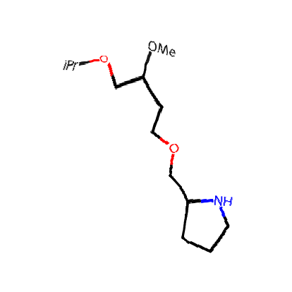 COC(CCOCC1CCCN1)COC(C)C